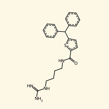 N=C(N)NCCCCNC(=O)c1ccc(C(c2ccccc2)c2ccccc2)s1